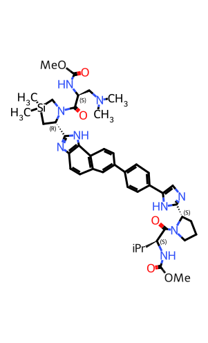 COC(=O)N[C@@H](CN(C)C)C(=O)N1C[Si](C)(C)C[C@H]1c1nc2ccc3cc(-c4ccc(-c5cnc([C@@H]6CCCN6C(=O)[C@@H](NC(=O)OC)C(C)C)[nH]5)cc4)ccc3c2[nH]1